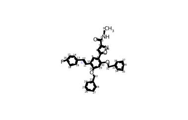 CCNC(=O)c1cc(-c2cc(/C=C/c3ccc(F)cc3)c(OCc3ccccc3)cc2OCc2ccccc2)on1